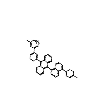 CC1=CC=C(c2cccc3c(-c4c5ccccc5c(C5=CC(c6cncc(C)c6)=CCC5)c5ccccc45)cccc23)CC1